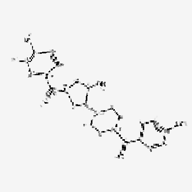 O=C(c1ccc(Cl)cc1)N1CCN(C2CN(C(=O)c3ccc(Br)c(F)c3)CC2O)CC1